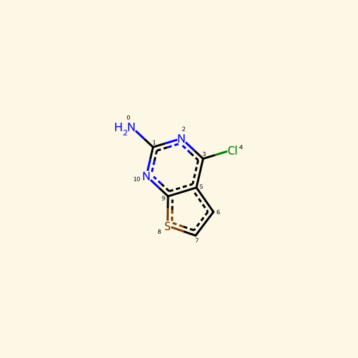 Nc1nc(Cl)c2ccsc2n1